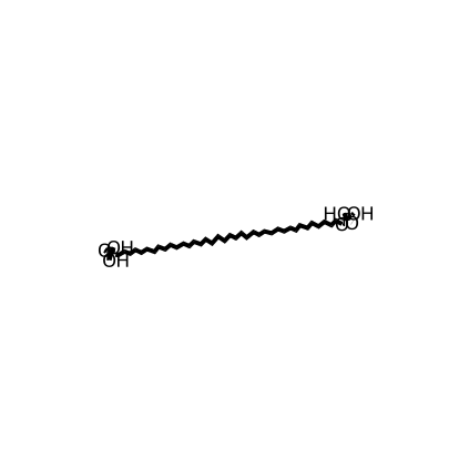 O=P(O)(O)CCCCCCCCCCCCCCCCCCCCCCCCCCCCCCCCCCCCCCOP(=O)(O)O